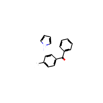 O=C(c1ccccc1)c1ccc([N+](=O)[O-])cc1.c1cc[nH]c1